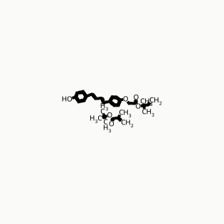 C=C(C)C(=O)OC(C)(C)C.C=CC(C)(C)OC(=O)COc1ccc(C=CC=Cc2ccc(O)cc2)cc1